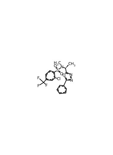 C[C@@H](c1nnc(-c2ccccc2)o1)N(C)S(=O)(=O)c1ccc(C(F)(F)F)cc1Cl